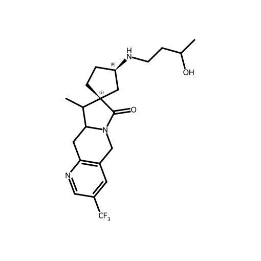 CC(O)CCN[C@@H]1CC[C@@]2(C1)C(=O)N1Cc3cc(C(F)(F)F)cnc3CC1C2C